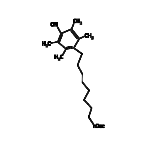 CCCCCCCCCCCCCCCCCCc1c(C)c(C)c(N=O)c(C)c1C